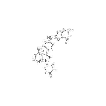 C=C1CCC(n2nc(-c3ccc(Nc4nc5cc(C)cc(C)c5o4)cc3)c3c(N)ncnc32)CC1